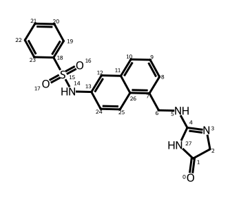 O=C1CN=C(NCc2cccc3cc(NS(=O)(=O)c4ccccc4)ccc23)N1